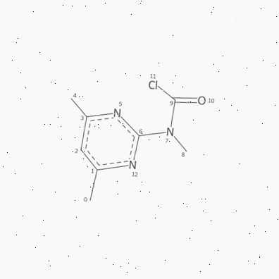 Cc1cc(C)nc(N(C)C(=O)Cl)n1